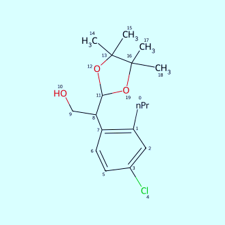 CCCc1cc(Cl)ccc1C(CO)C1OC(C)(C)C(C)(C)O1